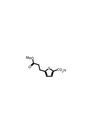 COC(=O)CCc1ccc(C(=O)O)s1